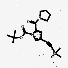 CC(C)(C)OC(=O)n1cc(C#C[Si](C)(C)C)cc1C(=O)N1CCCC1